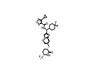 O=C(N[C@H](c1cn2ncc(C[C@H]3CC[C@@H](C(F)(F)F)NC3=O)cc2n1)C1CCC(F)(F)CC1)c1nonc1C1CC1